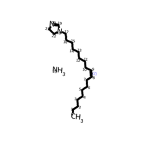 CCCCCCCC/C=C\CCCCCCCCN1C=NCC1.N